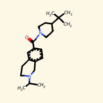 CC(C)N1CCc2cc(C(=O)N3CCC(C(C)(C)C)CC3)ccc2C1